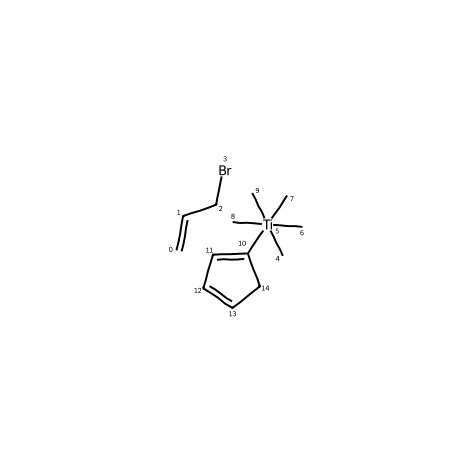 C=CCBr.[CH3][Ti]([CH3])([CH3])([CH3])([CH3])[C]1=CC=CC1